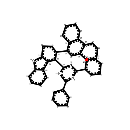 c1ccc(-c2nc(-c3ccccc3)nc(-c3c(-c4cc5ccccc5c5ccccc45)ccc4oc5ccccc5c34)n2)cc1